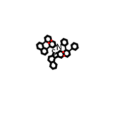 c1ccc(-c2ccccc2-c2ccccc2N(c2cccc(-c3cccc4cccc(-c5ccccc5)c34)c2)c2cccc3c2sc2ccc4ccccc4c23)cc1